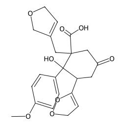 COc1ccc(C2(O)C(C3=CCOO3)CC(=O)CC2(CC2=CCOC2)C(=O)O)cc1